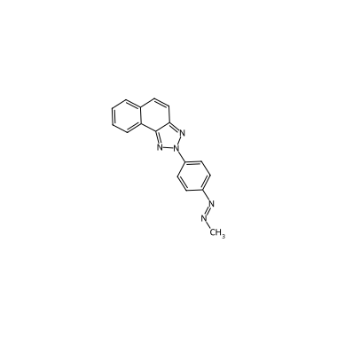 CN=Nc1ccc(-n2nc3ccc4ccccc4c3n2)cc1